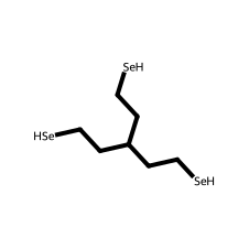 [SeH]CC[C](CC[SeH])CC[SeH]